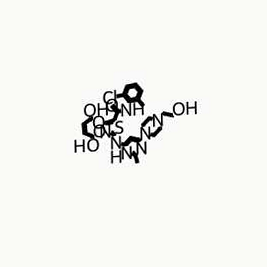 Cc1nc(Nc2ncc(C(=O)Nc3c(C)cccc3Cl)s2)cc(N2CCN(CCO)CC2)n1.O=C(O)/C=C\C(=O)O